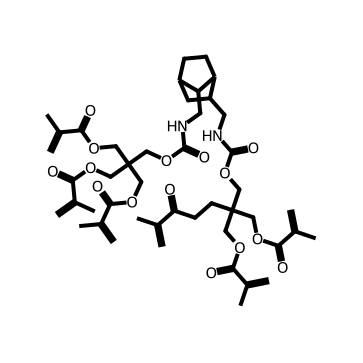 C=C(C)C(=O)CCC(COC(=O)NCC1CC2CCC1C2CNC(=O)OCC(COC(=O)C(=C)C)(COC(=O)C(=C)C)COC(=O)C(=C)C)(COC(=O)C(=C)C)COC(=O)C(=C)C